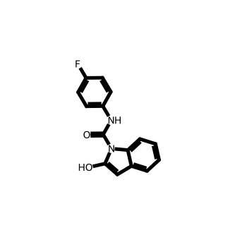 O=C(Nc1ccc(F)cc1)n1c(O)cc2ccccc21